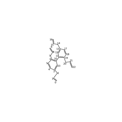 C=CCc1ccc(CC=C)c(-c2cc(CC=C)ccc2CC=C)c1